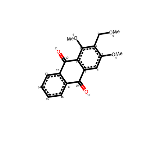 COCc1c(OC)cc2c(c1OC)C(=O)c1ccccc1C2=O